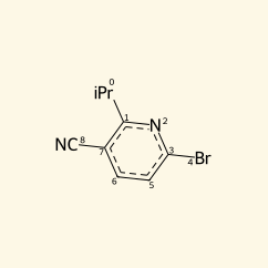 CC(C)c1nc(Br)ccc1C#N